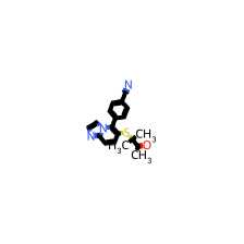 CC(=O)C(C)(C)Sc1ccc2nccn2c1-c1ccc(C#N)cc1